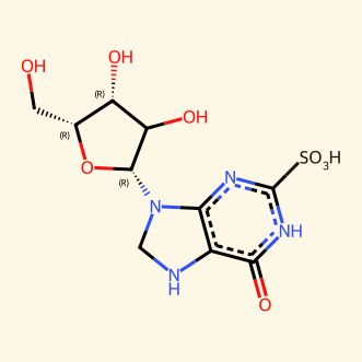 O=c1[nH]c(S(=O)(=O)O)nc2c1NCN2[C@@H]1O[C@H](CO)[C@H](O)C1O